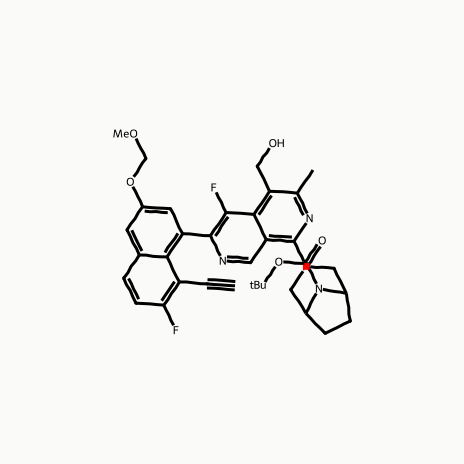 C#Cc1c(F)ccc2cc(OCOC)cc(-c3ncc4c(N5CC6CCC(C5)N6C(=O)OC(C)(C)C)nc(C)c(CO)c4c3F)c12